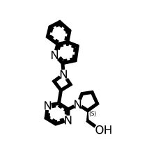 OC[C@@H]1CCCN1c1nccnc1C1CN(c2ccc3ccccc3n2)C1